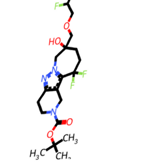 CC(C)(C)OC(=O)N1CCc2nn3c(c2C1)C(F)(F)CCC(O)(COCC(F)F)C3